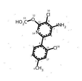 Cc1ccc(-c2cc(N)c(Cl)c(OC(=O)O)n2)c(Cl)c1